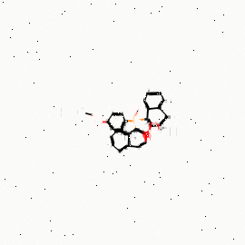 CCOc1ccc(P(=O)(c2c(OC)ccc3ccccc23)c2c(OC)ccc3ccccc23)cc1